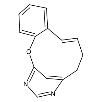 C1=C/c2ccccc2Oc2cc(ncn2)CC/1